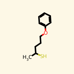 CC(S)CCCOc1ccccc1